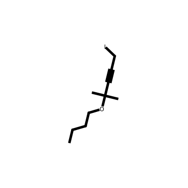 CCCCOC(C)(C)C#CCI